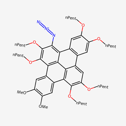 CCCCCOc1cc2c(cc1OCCCCC)c1c(N=[N+]=[N-])c(OCCCCC)c(OCCCCC)c3c4cc(OC)c(OC)cc4c4c(OCCCCC)c(OCCCCC)cc2c4c13